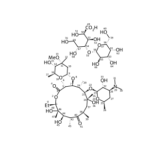 CC[C@H]1OC(=O)[C@H](C)[C@@H](O[C@H]2C[C@@](C)(OC)[C@@H](O)[C@H](C)O2)[C@H](C)[C@@H](O[C@@H]2O[C@H](C)C[C@H](N(C)C)[C@H]2O)[C@](C)(O)C[C@@H](C)C(=O)[C@H](C)[C@@H](O)[C@]1(C)O.O=C(O)[C@H](O)[C@@H](O)[C@H](O[C@@H]1O[C@H](CO)[C@H](O)[C@H](O)[C@H]1O)[C@H](O)CO